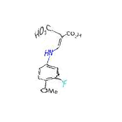 COc1ccc(NC=C(C(=O)O)C(=O)O)cc1F